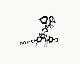 COc1cc2nc(N3CCC(N(C(=O)C4CCCN4C)C4CCCC4)CC3)nc(Nc3ccc(Cl)cc3F)c2cc1F